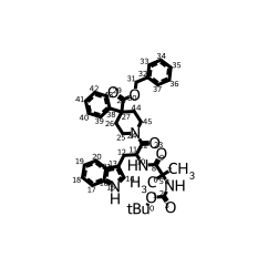 CC(C)(C)OC(=O)NC(C)(C)C(=O)NC(Cc1c[nH]c2ccccc12)C(=O)N1CCC(C(=O)OCc2ccccc2)(c2ccccc2)CC1